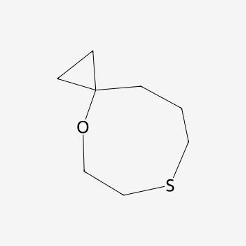 C1CSCCOC2(C1)CC2